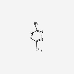 Cc1cnc(C(C)C)nn1